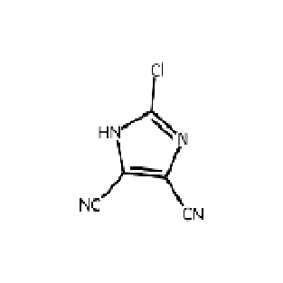 N#Cc1nc(Cl)[nH]c1C#N